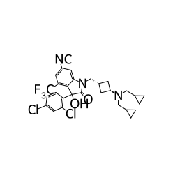 [C-]#[N+]c1cc2c(c(C(F)(F)F)c1)C(O)(c1ccc(Cl)cc1Cl)C(=O)N2C[C@H]1C[C@H](N(CC2CC2)CC2CC2)C1